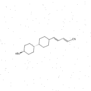 CCCC[C@H]1CC[C@H](C2CCC(/C=C/C=C/C#N)CC2)CC1